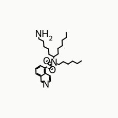 CCCCCCC(CCCCCN)N(CCCCCC)S(=O)(=O)c1cccc2cnccc12